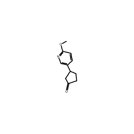 COc1ccc(C2CCC(=O)C2)cn1